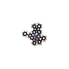 c1ccc(-c2cccc(-c3cc4c(cc3N(c3ccc5c6ccccc6c6ccccc6c5c3)c3cccc5c3C3(CCCC3)c3ccccc3-5)C3(c5ccccc5-c5ccccc53)c3ccccc3-4)c2)cc1